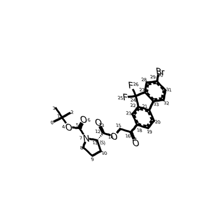 CC(C)(C)OC(=O)N1CCC[C@H]1C(=O)OCC(=O)c1ccc2c(c1)C(F)(F)c1cc(Br)ccc1-2